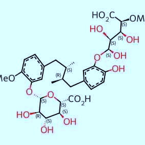 COc1ccc(C[C@H](C)[C@H](C)Cc2ccc(O)c(O[C@H](O)[C@@H](O)[C@H](O)[C@H](OC)C(=O)O)c2)cc1O[C@@H]1O[C@H](C(=O)O)[C@@H](O)[C@H](O)[C@H]1O